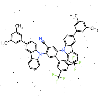 Cc1cc(C)cc(-c2ccc3c(c2)c2ccccc2n3-c2cc(-c3cc(C(F)(F)F)cc(C(F)(F)F)c3)c(-n3c4ccccc4c4cc(-c5cc(C)cc(C)c5)ccc43)cc2C#N)c1